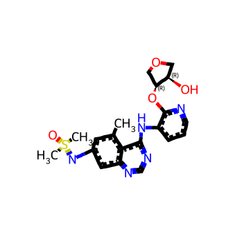 Cc1cc(N=S(C)(C)=O)cc2ncnc(Nc3cccnc3O[C@@H]3COC[C@H]3O)c12